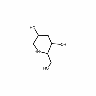 OCC1NCC(O)CC1O